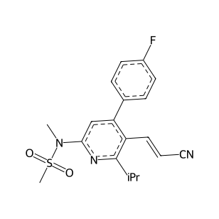 CC(C)c1nc(N(C)S(C)(=O)=O)cc(-c2ccc(F)cc2)c1C=CC#N